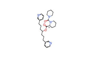 O=C(OC(CCCc1cccnc1)CCCc1cccnc1)[C@@H]1CCCCN1C(=O)N1CCCCC1